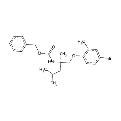 Cc1cc(Br)ccc1OCC(C)(CC(C)C)NC(=O)OCc1ccccc1